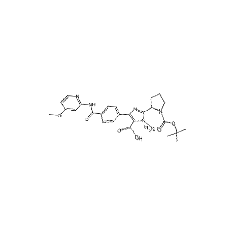 COc1ccnc(NC(=O)c2ccc(-c3nc(C4CCCN4C(=O)OC(C)(C)C)n(N)c3C(=O)O)cc2)c1